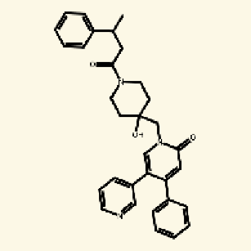 CC(CC(=O)N1CCC(O)(Cn2cc(-c3cccnc3)c(-c3ccccc3)cc2=O)CC1)c1ccccc1